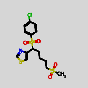 CS(=O)(=O)CCCCC(c1cscn1)S(=O)(=O)c1ccc(Cl)cc1